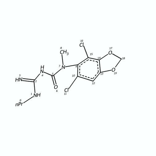 CCCNC(=N)NC(=O)N(C)c1c(Cl)cc2c(c1Cl)OCO2